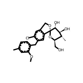 COc1cc(C)ccc1Cc1cc2c(cc1Cl)CO[C@]21O[C@H](CO)[C@@H](C)[C@H](O)[C@H]1O